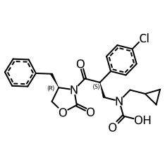 O=C(O)N(CC1CC1)C[C@@H](C(=O)N1C(=O)OC[C@H]1Cc1ccccc1)c1ccc(Cl)cc1